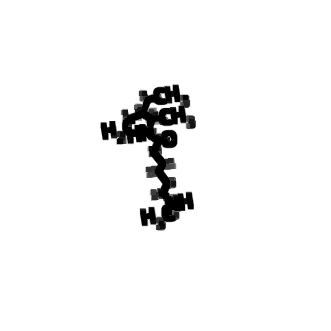 C=C[C@@H](CC)[C@@H](C)NC(=O)CCCCCNC